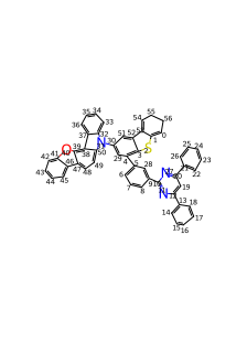 C1=c2sc3c(-c4cccc(-c5nc(-c6ccccc6)cc(-c6ccccc6)n5)c4)cc(-n4c5ccccc5c5c6oc7ccccc7c6ccc54)cc3c2=CCC1